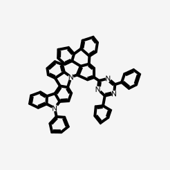 c1ccc(-c2nc(-c3ccccc3)nc(-c3cc(-n4c5ccccc5c5c6c7ccccc7n(-c7ccccc7)c6ccc54)c4c5ccccc5c5ccccc5c4c3)n2)cc1